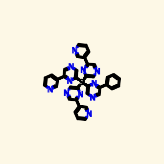 c1ccc(-c2cncc([Si](c3cncc(-c4cccnc4)n3)(c3cncc(-c4cccnc4)n3)c3cncc(-c4cccnc4)n3)n2)cc1